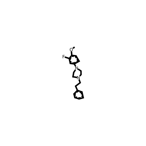 COc1ccc(N2CCN(CCc3ccccc3)CC2)cc1F